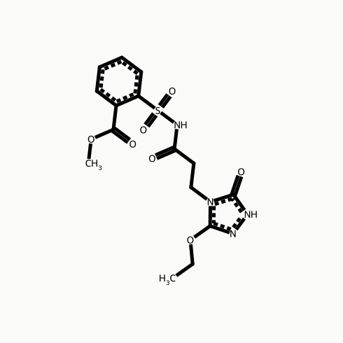 CCOc1n[nH]c(=O)n1CCC(=O)NS(=O)(=O)c1ccccc1C(=O)OC